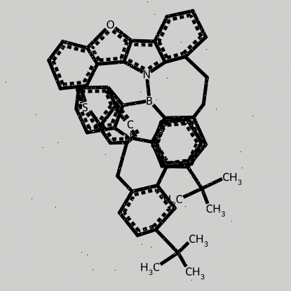 CC(C)(C)c1ccc(CN2c3cc(C(C)(C)C)cc4c3B(c3c2ccc2sc5ccccc5c32)n2c3c(cccc3c3oc5ccccc5c32)CC4)c(-c2ccccc2)c1